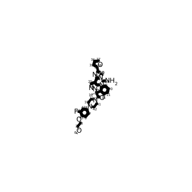 COCCOc1ccc(N2CCN(C(=O)[C@](C)(c3ccccc3)n3ncc4c3nc(N)n3nc(-c5ccco5)nc43)CC2)cc1F